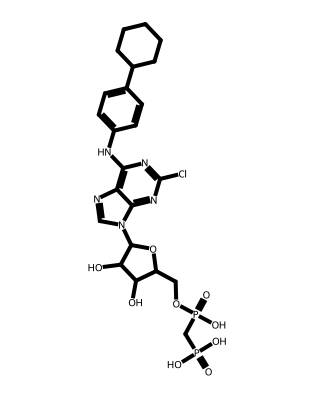 O=P(O)(O)CP(=O)(O)OCC1OC(n2cnc3c(Nc4ccc(C5CCCCC5)cc4)nc(Cl)nc32)C(O)C1O